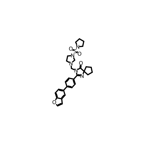 O=C1N(CN2CCN(S(=O)(=O)N3CCCC3)C2)C(c2ccc(-c3ccc4occc4c3)cc2)=NC12CCCC2